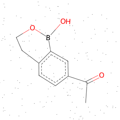 CC(=O)c1ccc2c(c1)B(O)OCC2